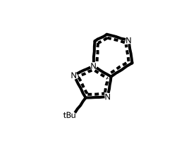 CC(C)(C)c1nc2cnccn2n1